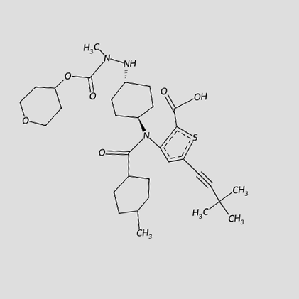 CC1CCC(C(=O)N(c2cc(C#CC(C)(C)C)sc2C(=O)O)[C@H]2CC[C@H](NN(C)C(=O)OC3CCOCC3)CC2)CC1